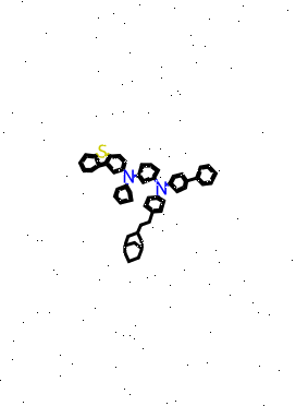 c1ccc(-c2ccc(N(c3ccc(CCC4CC5CCCC(C5)C4)cc3)c3cccc(N(c4ccccc4)c4ccc5sc6ccccc6c5c4)c3)cc2)cc1